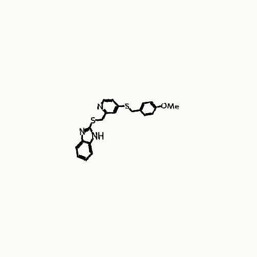 COc1ccc(CSc2ccnc(CSc3nc4ccccc4[nH]3)c2)cc1